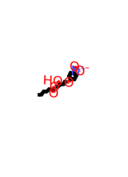 CCCCCC(=O)OCC(O)CCOc1ccc([N+](=O)[O-])cc1